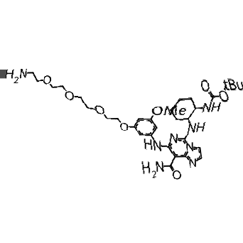 COc1cc(Nc2nc(N[C@H]3CCCC[C@H]3NC(=O)OC(C)(C)C)n3ccnc3c2C(N)=O)cc(OCCOCCOCCOCCN)c1